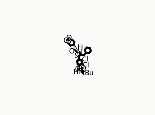 CC(C)(C)NS(=O)(=O)c1ccc(-c2sc(C(=O)NC3CCS(=O)(=O)CC3)nc2CC2CCCCC2)c(Cl)c1Cl